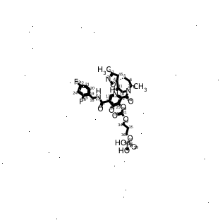 CC1=NO[C@@]2(CC[C@H](C)N3C[C@H]2n2cc(C(=O)NCc4ccc(F)cc4F)c(=O)c(OC(=O)OCCCOP(=O)(O)O)c2C3=O)C1